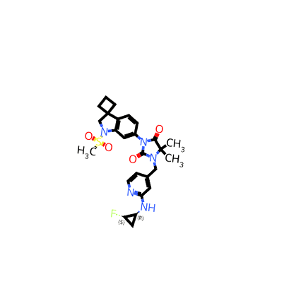 CC1(C)C(=O)N(c2ccc3c(c2)N(S(C)(=O)=O)CC32CCC2)C(=O)N1Cc1ccnc(N[C@@H]2C[C@@H]2F)c1